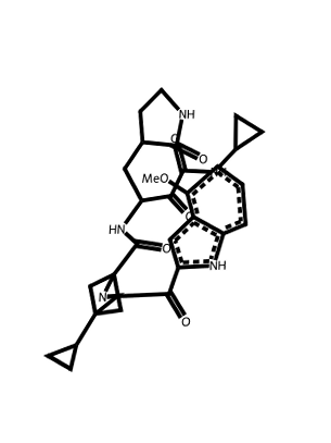 COc1cccc2[nH]c(C(=O)N3CC4(C5CC5)CC3(C(=O)NC(CC3CCNC3=O)C(=O)C(=O)NC3CC3)C4)cc12